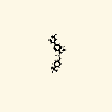 Cc1cc(-c2ccc3c(NCc4ccc(C(F)(F)F)cc4)ncnc3c2)ccn1